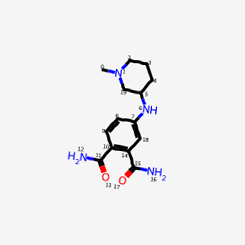 CN1CCCC(Nc2ccc(C(N)=O)c(C(N)=O)c2)C1